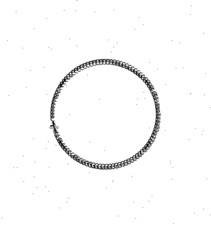 CC1=CCCCCCCCCCCCCCCCCCCCCCCCCCCCCCCCCCCCCCCCCCCCCCCCCCCCCCCCCCCCCCCCCCCCCCCCCCCCCCCCCCCCCCCCCCCCCCCCCC=C1